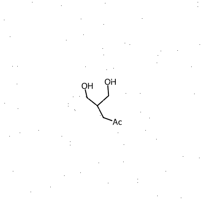 CC(=O)CC(CO)CO